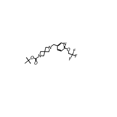 CC(C)(C)OC(=O)N1CC2(CN(Cc3ccc(OCC(F)(F)F)nc3)C2)C1